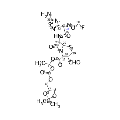 CC(OC(=O)OCC1COC(C)(C)O1)OC(=O)C1=C(C=O)CSC2C(NC(=O)/C(=N\OCF)c3nsc(N)n3)C(=O)N12